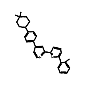 Cc1ccccc1-c1cccc(-c2cc(-c3ccc(C4CCC(C)(C)CC4)cc3)ccn2)n1